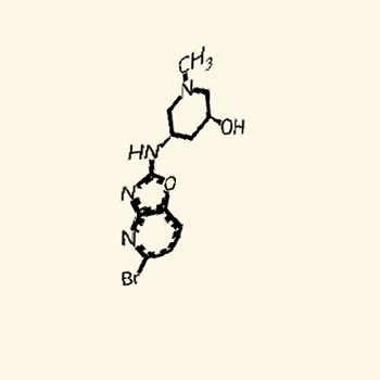 CN1C[C@@H](O)C[C@@H](Nc2nc3nc(Br)ccc3o2)C1